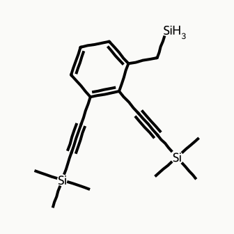 C[Si](C)(C)C#Cc1cccc(C[SiH3])c1C#C[Si](C)(C)C